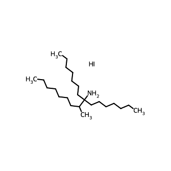 CCCCCCCC(C)C(N)(CCCCCCC)CCCCCCC.I